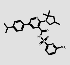 CC1CN(c2ncc(-c3ccc(C(C)C)cc3)cc2C(=O)NS(=O)(=O)c2cccc(N)n2)C(C)(C)C1